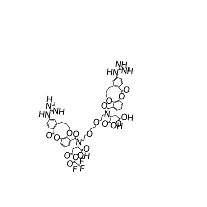 N=C(N)Nc1ccc2c(c1)CCCOc1c(cccc1C(=O)N(CCOCCOCCN(C(=O)c1cccc3c1OCCCc1cc(NC(=N)N)ccc1C(=O)O3)C(CC(=O)OC(=O)C(F)(F)F)C(=O)O)C(CC(=O)O)C(=O)O)OC2=O